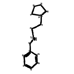 c1ccc(CNCCN2CCCC2)nc1